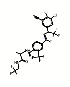 CC(NC(=O)c1ccc(/C(F)=C/C(c2cc(Cl)c(Cl)c(C#N)c2)C(F)(F)F)cc1C(F)(F)F)C(=O)NCC(F)(F)F